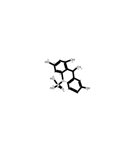 CC(c1cccc(O)c1)c1c(O)cc(O)cc1OP(=O)(O)O